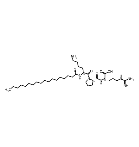 CCCCCCCCCCCCCCCCCC(=O)N[C@@H](CCCCN)C(=O)N1CCC[C@H]1C(=O)N[C@@H](CCCNC(=N)N)C(=O)O